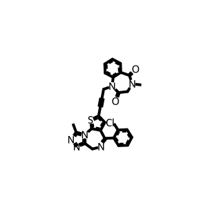 Cc1nnc2n1-c1sc(C#CCN3C(=O)CN(C)C(=O)c4ccccc43)cc1C(c1ccccc1Cl)=NC2